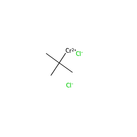 C[C](C)(C)[Cr+2].[Cl-].[Cl-]